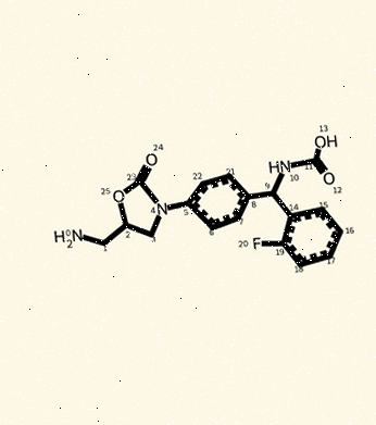 NCC1CN(c2ccc(C(NC(=O)O)c3ccccc3F)cc2)C(=O)O1